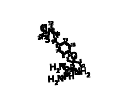 CCC(C)(Oc1ccc(/C=N/N(C)P(C)(=S)Cl)cc1)P(N)P(N)PN